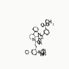 COC(=O)c1cccc(-c2c[nH]c(C3C(c4ccccc4)CCCN3C(=O)C=Cc3cc(Cl)ccc3-n3cnnn3)n2)c1